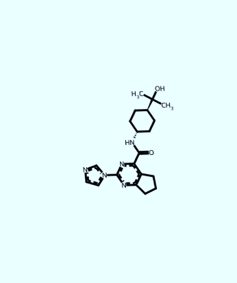 CC(C)(O)[C@H]1CC[C@H](NC(=O)c2nc(-n3ccnc3)nc3c2CCC3)CC1